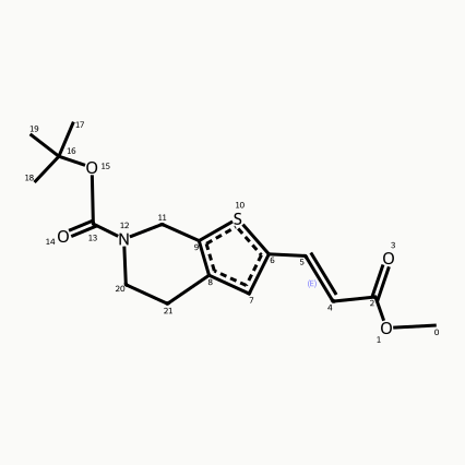 COC(=O)/C=C/c1cc2c(s1)CN(C(=O)OC(C)(C)C)CC2